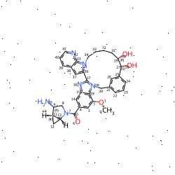 COc1cc(C(=O)N2C[C@H](N)[C@H]3C[C@H]32)cc2nc3n(c12)Cc1cccc(c1)[C@H](O)[C@H](O)CCCCn1c-3cc2cccnc21